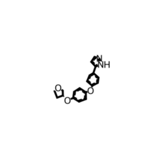 c1cc(-c2ccc(Oc3ccc(O[C@@H]4CCOC4)cc3)cc2)[nH]n1